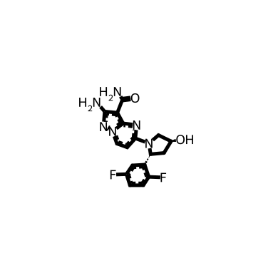 NC(=O)c1c(N)nn2ccc(N3C[C@@H](O)C[C@@H]3c3cc(F)ccc3F)nc12